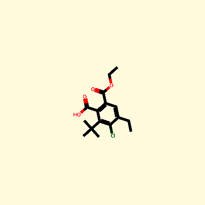 CCOC(=O)c1cc(CC)c(Cl)c(C(C)(C)C)c1C(=O)O